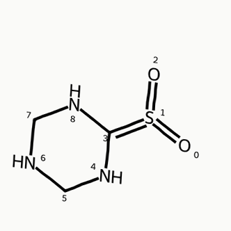 O=S(=O)=C1NCNCN1